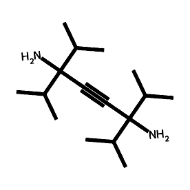 CC(C)C(N)(C#CC(N)(C(C)C)C(C)C)C(C)C